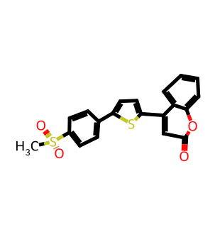 CS(=O)(=O)c1ccc(-c2ccc(-c3cc(=O)oc4ccccc34)s2)cc1